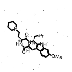 COc1ccc2c3c([nH]c2c1)[C@H](CC(C)C)N1C(=O)[C@H](CCN2CCCCC2)NC(=O)[C@@H]1C3